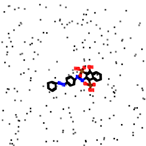 O=S(=O)(O)c1c(N=Nc2ccc(N=Nc3ccccc3)cc2)c(S(=O)(=O)O)c2ccccc2c1O